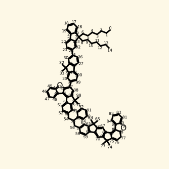 CCCCCCCC1(CCCCCCC)c2ccccc2-c2ccc(-c3ccc4c(c3)C(C)(C)c3cc(-c5cc6c(c7c5oc5ccccc57)-c5ccc(CC(Cc7ccc8c(c7)C(C)(C)c7cc9c(cc7-8)C(C)(C)C7=CCC8Oc%10ccccc%10C8=C79)c7ccccc7)cc5C6(C)C)ccc3-4)cc21